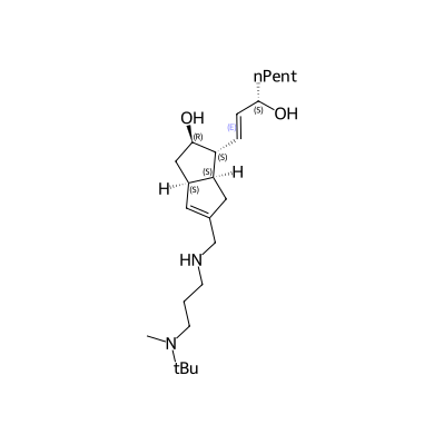 CCCCC[C@H](O)/C=C/[C@@H]1[C@H]2CC(CNCCCN(C)C(C)(C)C)=C[C@H]2C[C@H]1O